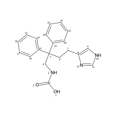 O=C(O)NCC(CCc1c[nH]cn1)(c1ccccc1)c1ccccc1